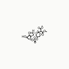 COC(=O)C(C(=O)OC)C1(C)OCC(OS(=O)(=O)O[S+]2C[C@@H](O)[C@H](O)[C@H]2CO)CO1